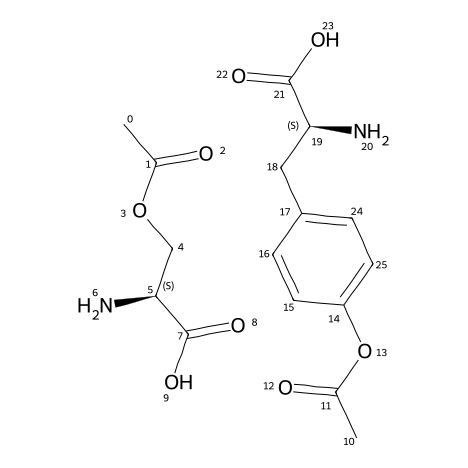 CC(=O)OC[C@H](N)C(=O)O.CC(=O)Oc1ccc(C[C@H](N)C(=O)O)cc1